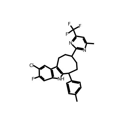 Cc1ccc(C2CCC(c3nc(C)cc(C(F)(F)F)n3)CCc3c2[nH]c2cc(F)c(Cl)cc32)cc1